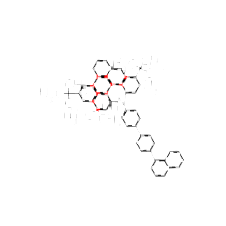 CC(C)(C)c1cc(-c2cccc3cccc(-c4ccccc4N(c4ccc(-c5ccc(-c6cccc7ccccc67)cc5)cc4)c4ccc(C(C)(C)C)cc4-c4ccccc4)c23)cc(C(C)(C)C)c1